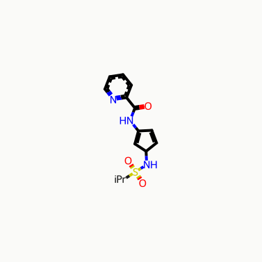 CC(C)S(=O)(=O)NC1C=CC(NC(=O)c2ccccn2)=C1